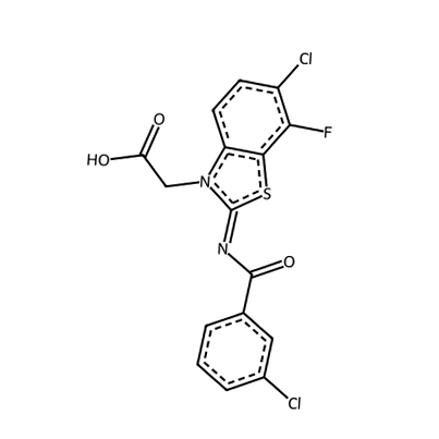 O=C(O)Cn1/c(=N/C(=O)c2cccc(Cl)c2)sc2c(F)c(Cl)ccc21